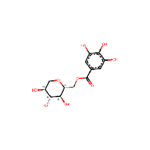 O=C(OC[C@H]1OC[C@H](O)[C@@H](O)[C@@H]1O)c1cc(O)c(O)c(O)c1